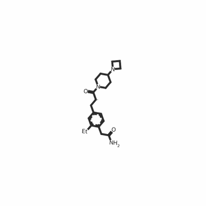 CCc1cc(C[CH]C(=O)N2CCC(N3CCC3)CC2)ccc1CC(N)=O